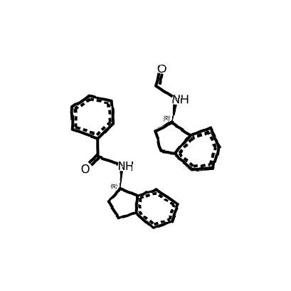 O=C(N[C@@H]1CCc2ccccc21)c1ccccc1.O=CN[C@@H]1CCc2ccccc21